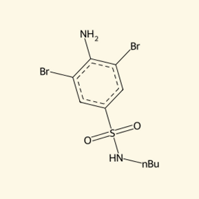 CCCCNS(=O)(=O)c1cc(Br)c(N)c(Br)c1